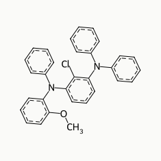 COc1ccccc1N(c1ccccc1)c1cccc(N(c2ccccc2)c2ccccc2)c1Cl